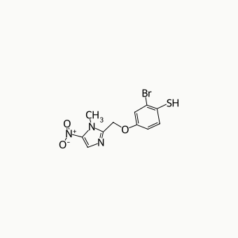 Cn1c([N+](=O)[O-])cnc1COc1ccc(S)c(Br)c1